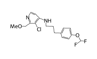 COCc1nccc(NCCCc2ccc(OC(F)F)cc2)c1Cl